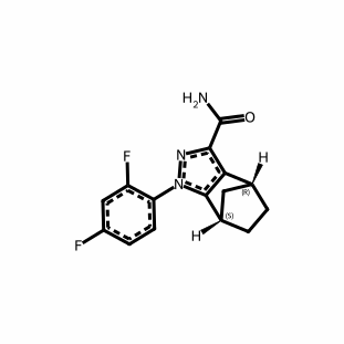 NC(=O)c1nn(-c2ccc(F)cc2F)c2c1[C@@H]1CC[C@H]2C1